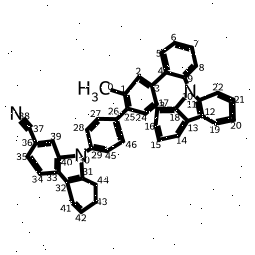 Cc1cc(-c2ccccc2-n2c3c(c4ccccc42)C=C=C=C3)ccc1-c1ccc(-n2c3c(c4ccc(C#N)cc42)C=CCC3)cc1